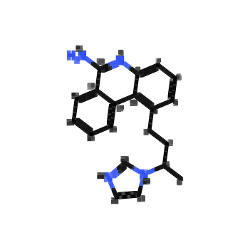 CC(CCc1cccc2nc(N)c3ccccc3c12)n1ccnc1